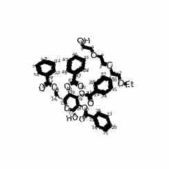 CCOCCOCCOCCO.O=C(OC[C@H]1O[C@@H](O)[C@H](OC(=O)c2ccccc2)[C@@H](OC(=O)c2ccccc2)[C@H]1OC(=O)c1ccccc1)c1ccccc1